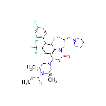 C=CC(=O)N1[C@H](C)CN(c2nc(=O)n3c4c(c(-c5ccc(F)cc5)c(C(F)(F)F)cc24)SCC(CN2CCCC2)C3)C[C@@H]1C